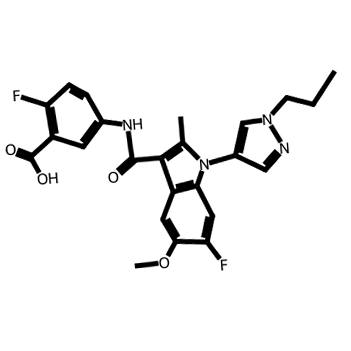 CCCn1cc(-n2c(C)c(C(=O)Nc3ccc(F)c(C(=O)O)c3)c3cc(OC)c(F)cc32)cn1